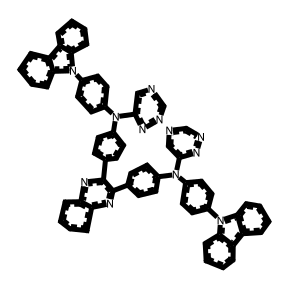 c1ccc2nc(-c3ccc(N(c4ccc(-n5c6ccccc6c6ccccc65)cc4)c4cncnn4)cc3)c(-c3ccc(N(c4ccc(-n5c6ccccc6c6ccccc65)cc4)c4cncnn4)cc3)nc2c1